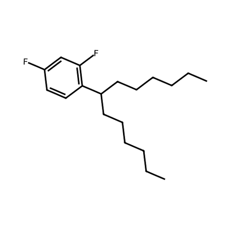 CCCCCCC(CCCCCC)c1ccc(F)cc1F